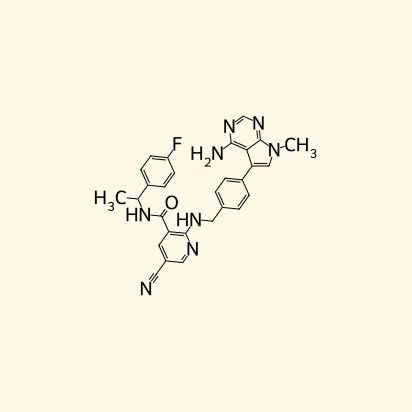 CC(NC(=O)c1cc(C#N)cnc1NCc1ccc(-c2cn(C)c3ncnc(N)c23)cc1)c1ccc(F)cc1